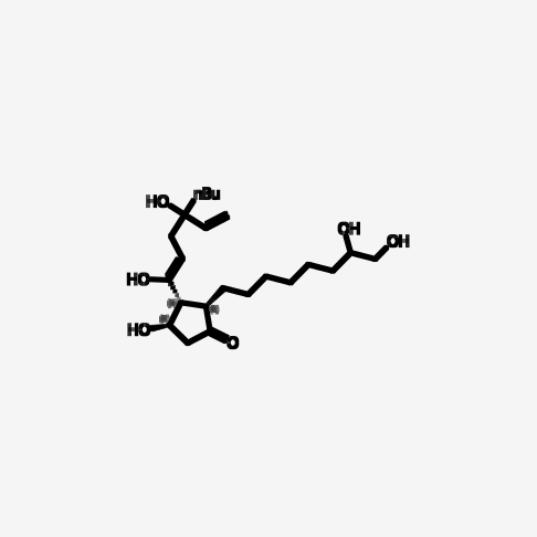 C=CC(O)(CC=C(O)[C@H]1[C@H](O)CC(=O)[C@@H]1CCCCCCC(O)CO)CCCC